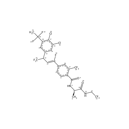 C[C@@H](NC(=O)c1ccc(/C(F)=C/C(c2cc(Cl)c(Cl)c(C(C)(F)F)c2)C(F)(F)F)cc1C(F)(F)F)C(=O)NCC(F)(F)F